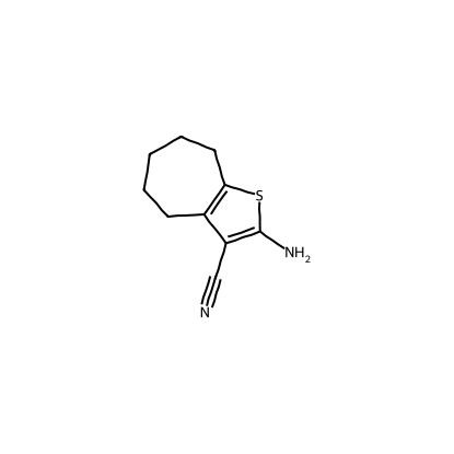 N#Cc1c(N)sc2c1CCCCC2